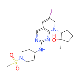 C[C@@]1(O)CCC[C@H]1N1CC(I)=Cc2cnc(NC3CCN(S(C)(=O)=O)CC3)nc21